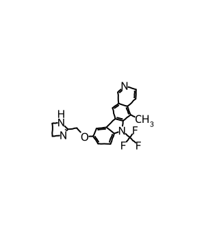 Cc1c2ccncc2cc2c3cc(OCC4=NCCN4)ccc3n(C(F)(F)F)c12